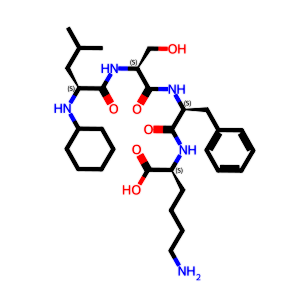 CC(C)C[C@H](NC1CCCCC1)C(=O)N[C@@H](CO)C(=O)N[C@@H](Cc1ccccc1)C(=O)N[C@@H](CCCCN)C(=O)O